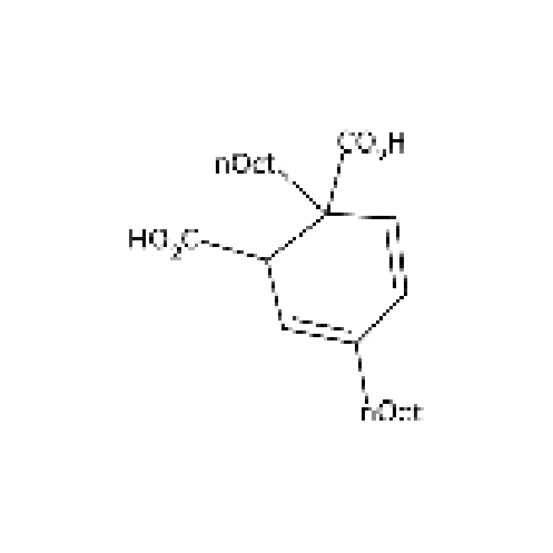 CCCCCCCCC1=CC(C(=O)O)C(CCCCCCCC)(C(=O)O)C=C1